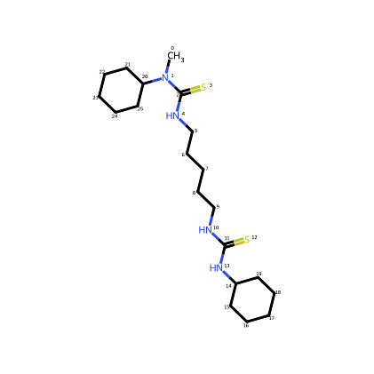 CN(C(=S)NCCCCCNC(=S)NC1CCCCC1)C1CCCCC1